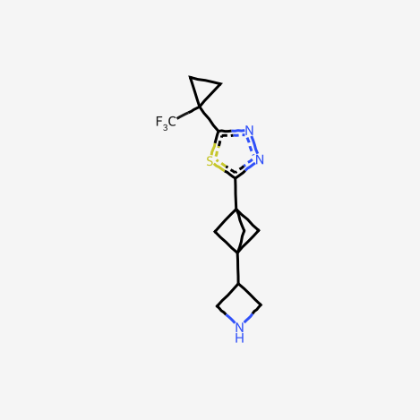 FC(F)(F)C1(c2nnc(C34CC(C5CNC5)(C3)C4)s2)CC1